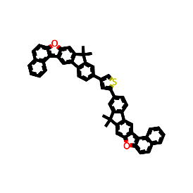 CC1(C)c2cc(-c3csc(-c4ccc5c(c4)C(C)(C)c4cc6oc7ccc8ccccc8c7c6cc4-5)c3)ccc2-c2cc3c(cc21)oc1ccc2ccccc2c13